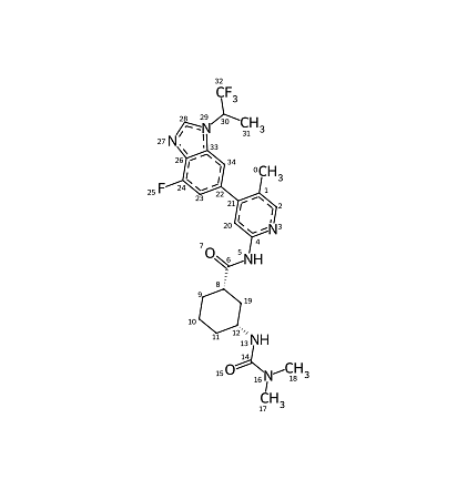 Cc1cnc(NC(=O)[C@H]2CCC[C@@H](NC(=O)N(C)C)C2)cc1-c1cc(F)c2ncn(C(C)C(F)(F)F)c2c1